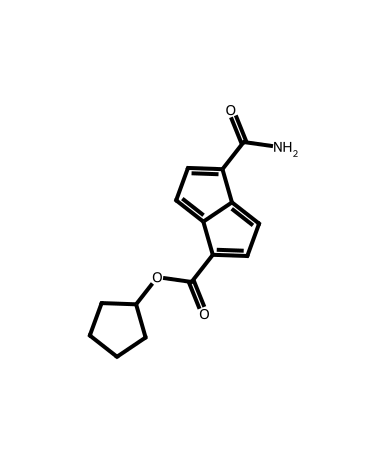 NC(=O)C1=CC=C2C(C(=O)OC3CCCC3)=CC=C12